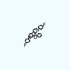 O=P1(c2ccccc2)c2c[n+](-c3ccc(F)cc3)ccc2-c2cc[n+](-c3ccc(F)cc3)cc21